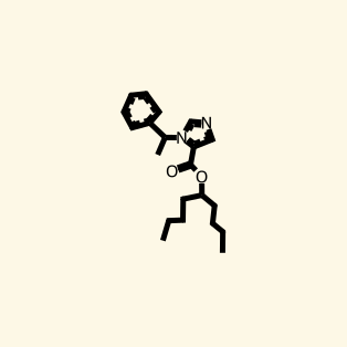 CCCCC(CCCC)OC(=O)c1cncn1C(C)c1ccccc1